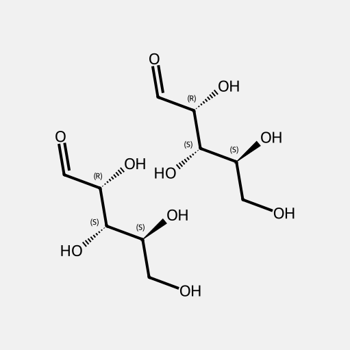 O=C[C@H](O)[C@@H](O)[C@@H](O)CO.O=C[C@H](O)[C@@H](O)[C@@H](O)CO